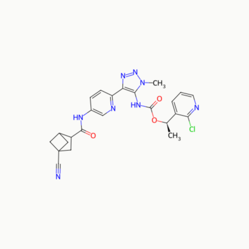 C[C@@H](OC(=O)Nc1c(-c2ccc(NC(=O)C3CC4(C#N)CC3C4)cn2)nnn1C)c1cccnc1Cl